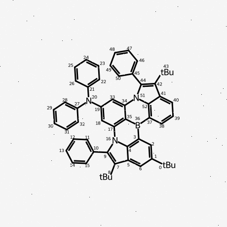 CC(C)(C)c1cc2c3c(c1)c(C(C)(C)C)c(-c1ccccc1)n3-c1cc(N(c3ccccc3)c3ccccc3)cc3c1B2c1cccc2c(C(C)(C)C)c(-c4ccccc4)n-3c12